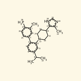 Cc1cc(-c2ccc(C(C)C)cc2N2CCC(c3[nH]cnc3C)CC2)ccc1P